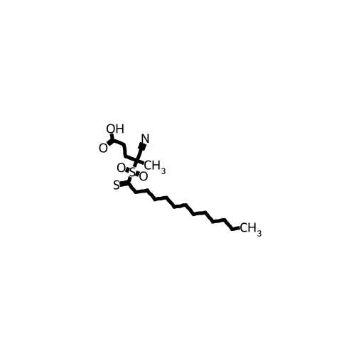 CCCCCCCCCCCCC(=S)S(=O)(=O)C(C)(C#N)CCC(=O)O